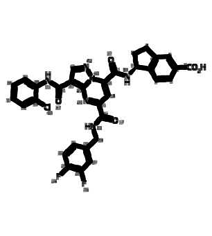 O=C(O)c1ccc2c(c1)CC[C@@H]2NC(=O)c1cc(C(=O)NCc2ccc(F)c(F)c2)nc2c(C(=O)Nc3ccccc3Cl)cnn12